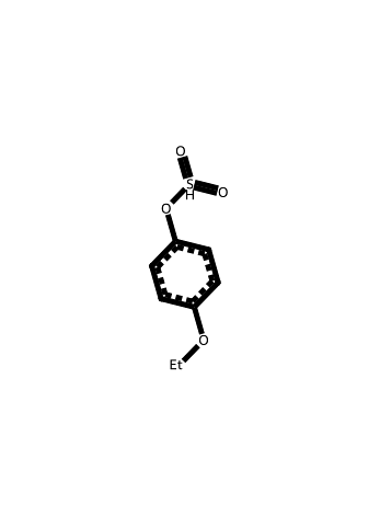 CCOc1ccc(O[SH](=O)=O)cc1